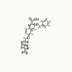 O=C(O)c1nc2ccc(OCC(F)(F)C(F)(F)C(F)(F)C(F)F)cc2cc1OCc1ccccc1